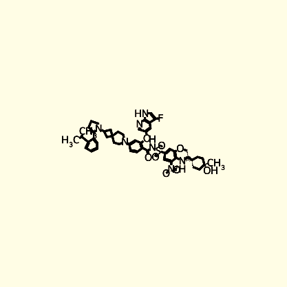 CC(C)c1ccccc1[C@H]1CCCN1C1CC2(CCN(c3ccc(C(=O)NS(=O)(=O)c4cc5c(c([N+](=O)[O-])c4)N[C@@H]([C@H]4CC[C@](C)(O)CC4)CO5)c(Oc4cnc5[nH]cc(F)c5c4)c3)CC2)C1